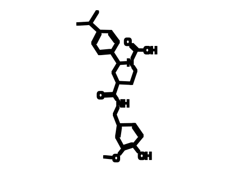 COc1cc(CNC(=O)C2CCN(C(=O)O)C(c3ccc(C(C)C)cc3)C2)ccc1O